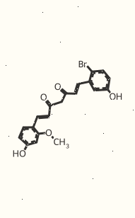 COc1cc(O)ccc1C=CC(=O)CC(=O)C=Cc1cc(O)ccc1Br